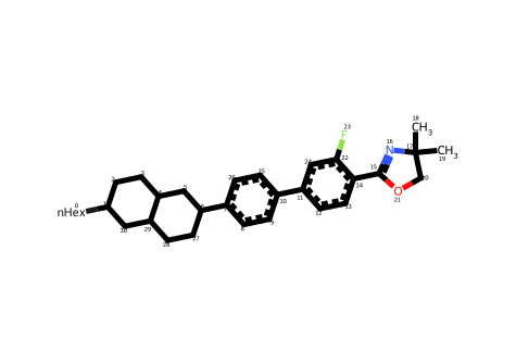 CCCCCCC1CCC2CC(c3ccc(-c4ccc(C5=NC(C)(C)CO5)c(F)c4)cc3)CCC2C1